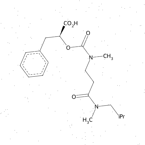 CC(C)CN(C)C(=O)CCN(C)C(=O)O[C@@H](Cc1ccccc1)C(=O)O